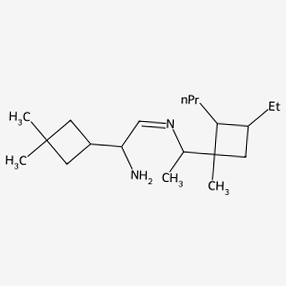 CCCC1C(CC)CC1(C)C(C)/N=C\C(N)C1CC(C)(C)C1